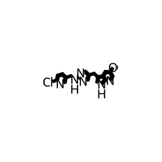 COc1cnc2[nH]cc(Cc3cnc(NCc4ccc(Cl)nc4)nc3)c2c1